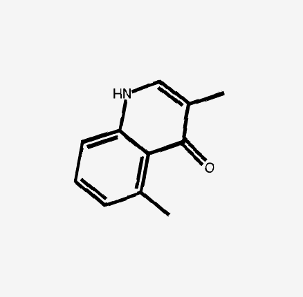 Cc1c[nH]c2cccc(C)c2c1=O